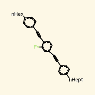 CCCCCCCc1ccc(C#Cc2ccc(C#Cc3ccc(CCCCCC)cc3)c(F)c2)cc1